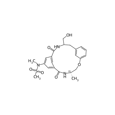 C[C@H]1COc2cccc(c2)CC(CO)NC(=O)c2cc(cc(N(C)S(C)(=O)=O)c2)C(=O)N1